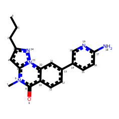 CCCc1cc2n(C)c(=O)c3ccc(-c4ccc(N)nc4)cc3n2n1